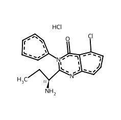 CC[C@H](N)c1nc2cccc(Cl)c2c(=O)n1-c1ccccc1.Cl